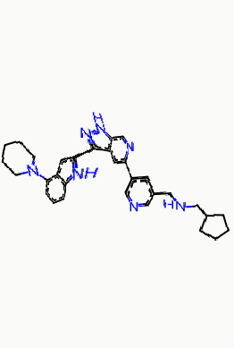 c1cc(N2CCCCC2)c2cc(-c3n[nH]c4cnc(-c5cncc(CNCC6CCCC6)c5)cc34)[nH]c2c1